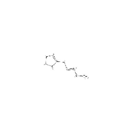 CON=CCC1=CCCS1